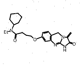 C=c1c(=O)[nH]c2n1Cc1ccc(OCCCC(=O)N(CC)C3CCCCC3)cc1N=2